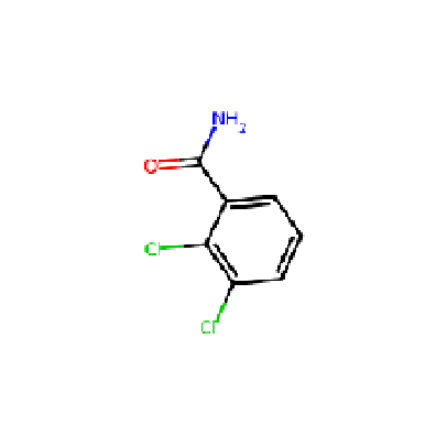 NC(=O)c1cccc(Cl)c1Cl